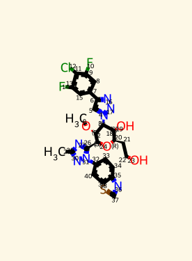 CO[C@@H]1[C@@H](n2cc(-c3cc(F)c(Cl)c(F)c3)nn2)[C@@H](O)[C@@H](CCO)O[C@H]1c1nc(C)nn1-c1ccc2ncsc2c1